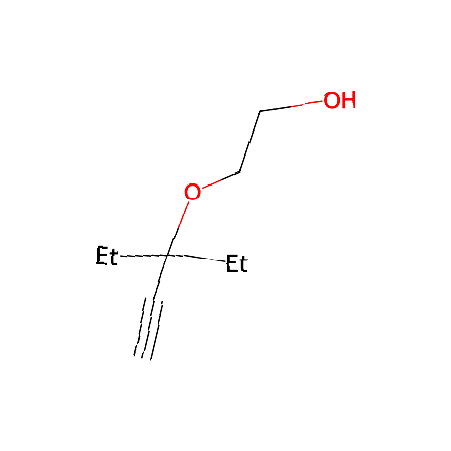 C#CC(CC)(CC)OCCO